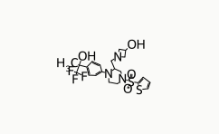 CC(O)(c1ccc(N2CCN(S(=O)(=O)c3cccs3)CC2CN2CC(O)C2)cc1)C(F)(F)F